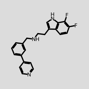 Fc1ccc2c(CCNCc3cccc(-c4ccncc4)c3)c[nH]c2c1F